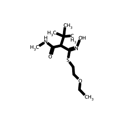 CCOCCSC(=NO)C(C(=O)NC)C(C)(C)C